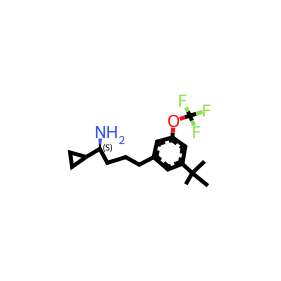 CC(C)(C)c1cc(CCC[C@H](N)C2CC2)cc(OC(F)(F)F)c1